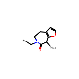 CNC1C(=O)N(CC(C)C)CCc2ccoc21